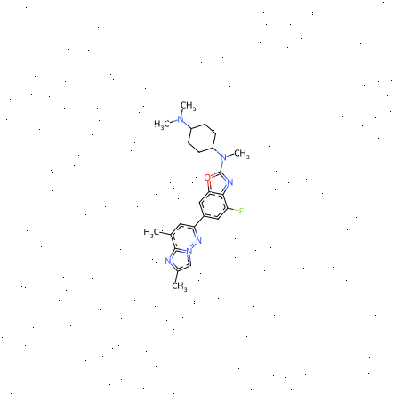 Cc1cn2nc(-c3cc(F)c4nc(N(C)C5CCC(N(C)C)CC5)oc4c3)cc(C)c2n1